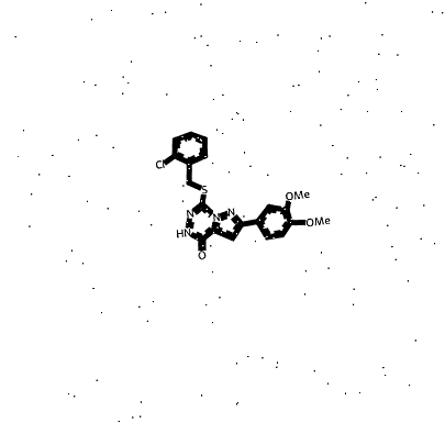 COc1ccc(-c2cc3c(=O)[nH]nc(SCc4ccccc4Cl)n3n2)cc1OC